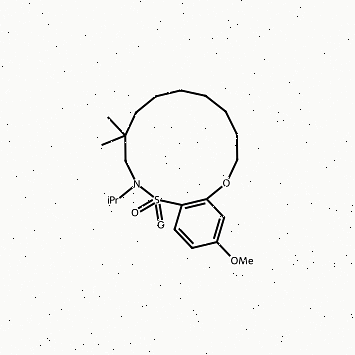 COc1ccc2c(c1)OCCCCCCCC(C)(C)CN(C(C)C)S2(=O)=O